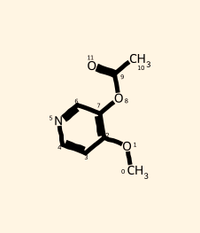 COc1ccncc1OC(C)=O